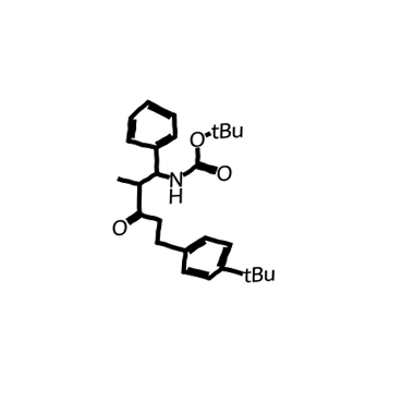 CC(C(=O)CCc1ccc(C(C)(C)C)cc1)C(NC(=O)OC(C)(C)C)c1ccccc1